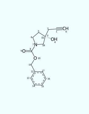 C#CC[C@]1(O)CCN(C(=O)OCc2ccccc2)C1